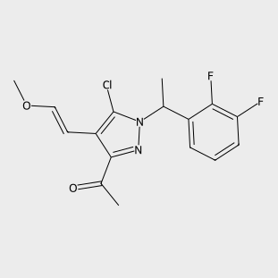 COC=Cc1c(C(C)=O)nn(C(C)c2cccc(F)c2F)c1Cl